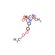 CCCCOCCOc1ccc(-c2ccc3c(c2)C=C(C(=O)O)CCN3Cc2c(C)noc2C)cc1